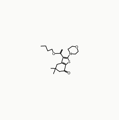 C=C(OCCCC)c1c(N2CCOCC2)sc2c1CC(C)(C)CC2=O